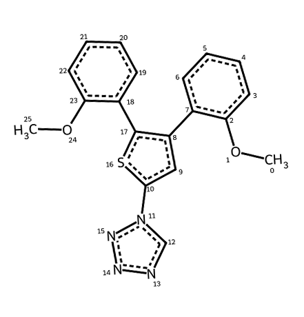 COc1ccccc1-c1cc(-n2cnnn2)sc1-c1ccccc1OC